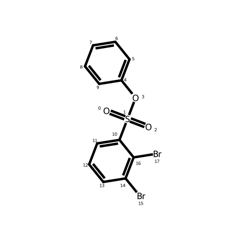 O=S(=O)(Oc1ccccc1)c1cccc(Br)c1Br